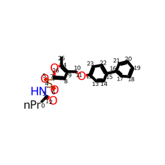 CCCC(=O)NS(=O)(=O)c1cc(COc2ccc(-c3ccccc3)cc2)c(C)o1